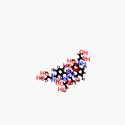 CC(O)C(N(NC(=O)C(O)CO)C(=O)c1c(I)cc(I)c(C(=O)NCC(O)CO)c1I)N(NC(=O)C(O)CO)C(=O)c1c(I)cc(I)c(C(=O)NCC(O)CO)c1I